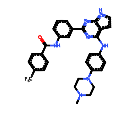 CN1CCN(c2ccc(Nc3nc(-c4cccc(NC(=O)c5ccc(C(F)(F)F)cc5)c4)nc4[nH]ccc34)cc2)CC1